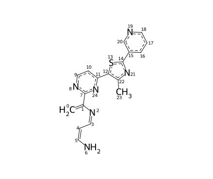 C=C(/N=C\C=C/N)c1nccc(-c2sc(-c3cccnc3)nc2C)n1